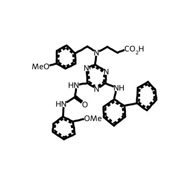 COc1ccc(CN(CCC(=O)O)c2nc(NC(=O)Nc3ccccc3OC)nc(Nc3ccccc3-c3ccccc3)n2)cc1